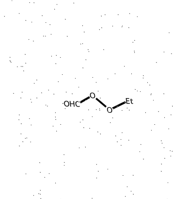 [CH2]COO[C]=O